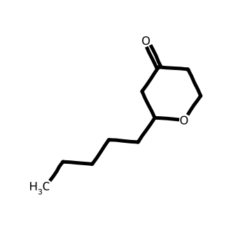 CCCCCC1CC(=O)CCO1